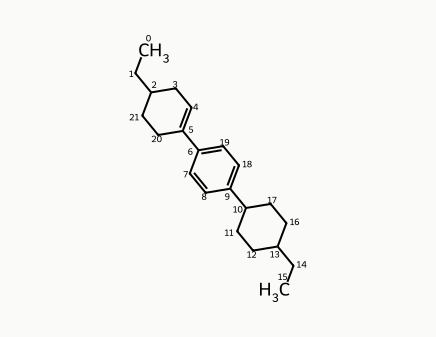 CCC1CC=C(c2ccc(C3CCC(CC)CC3)cc2)CC1